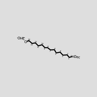 CCCCCCCCCCCCCCCCCCCCCCCCO[C]=O